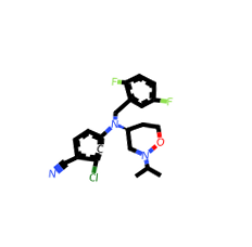 CC(C)N1C[C@@H](N(Cc2cc(F)ccc2F)c2ccc(C#N)c(Cl)c2)CCO1